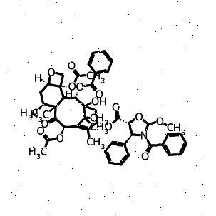 COC1O[C@@H](C(=O)O[C@H]2C[C@@]3(O)[C@@H](OC(=O)c4ccccc4)[C@@H]4[C@]5(OC(C)=O)CO[C@@H]5C[C@H](C)[C@@]4(C)C(=O)[C@H](OC(C)=O)C(=C2C)C3(C)C)[C@H](c2ccccc2)N1C(=O)c1ccccc1